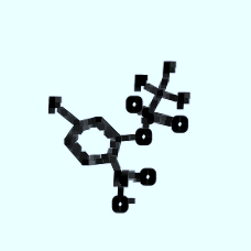 O=[N+]([O-])c1ccc(F)cc1OS(=O)(=O)C(F)(F)F